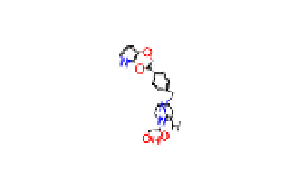 O=C(CO)N1CC2CC[C@H]1CN2Cc1ccc([C@H]2COc3cccnc3O2)cc1